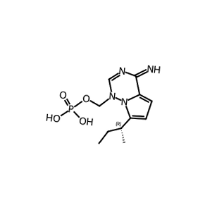 CC[C@@H](C)c1ccc2c(=N)ncn(COP(=O)(O)O)n12